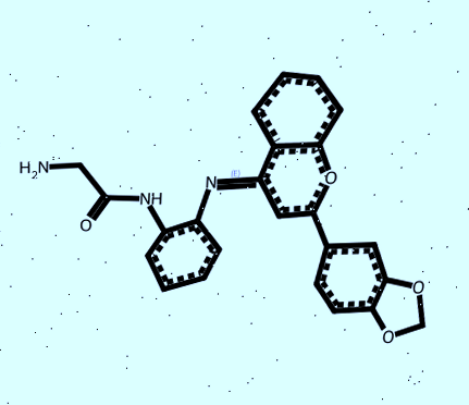 NCC(=O)Nc1ccccc1/N=c1\cc(-c2ccc3c(c2)OCO3)oc2ccccc12